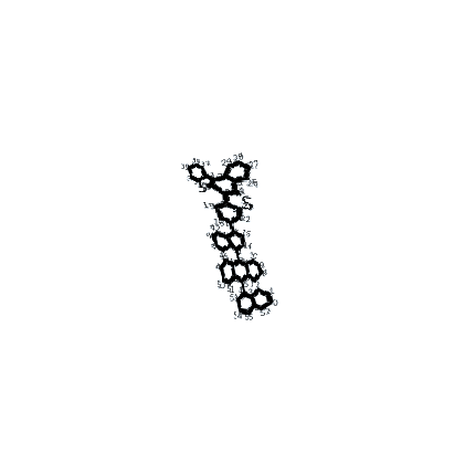 c1ccc2c(-c3c4ccccc4c(-c4ccc(-c5ccc6c(c5)sc5c7ccccc7c7c8ccccc8sc7c65)c5ccccc45)c4ccccc34)cccc2c1